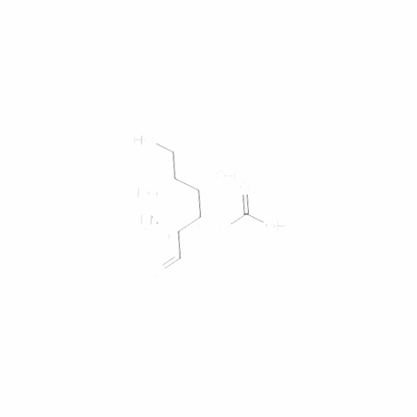 N[C@@H](C=O)[C@@H](OC(=O)O)[C@@H](O)[C@H](O)CO